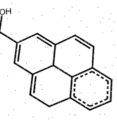 OCC1=CC2=CCc3cccc4c3C2C(=C1)C=C4